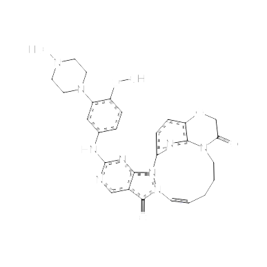 COc1ccc(Nc2ncc3c(=O)n4n(c3n2)-c2ccc3c(n2)N(CCC/C=C\4)C(=O)CO3)cc1N1CCN(C)CC1